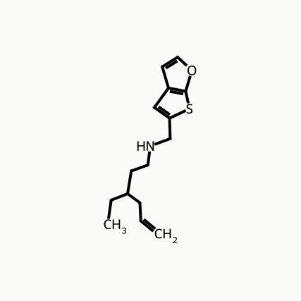 C=CCC(CC)CCNCc1cc2ccoc2s1